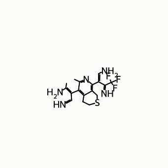 C/C(N)=C(/C=N)c1c(C)nc(/C(=C/N)C(=N)C(F)(F)F)c2c1CCSC2